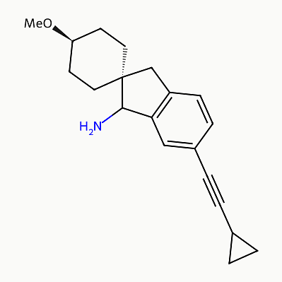 CO[C@H]1CC[C@]2(CC1)Cc1ccc(C#CC3CC3)cc1C2N